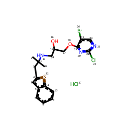 CC(C)(Cc1cc2ccccc2s1)NCC(O)COc1nc(Cl)ncc1Br.Cl